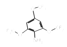 Nc1c(OC(F)(F)F)cc(OC(F)(F)F)cc1OC(F)(F)F